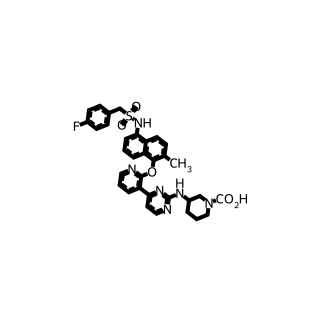 Cc1ccc2c(NS(=O)(=O)Cc3ccc(F)cc3)cccc2c1Oc1ncccc1-c1ccnc(NC2CCCN(C(=O)O)C2)n1